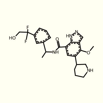 COc1c(C2CCCNC2)cc(C(=O)NC(C)c2cccc(C(F)(F)CO)c2)c2[nH]ncc12